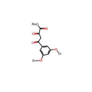 CCOc1cc(OCC)cc(C(=O)CC(=O)C(=O)OC)c1